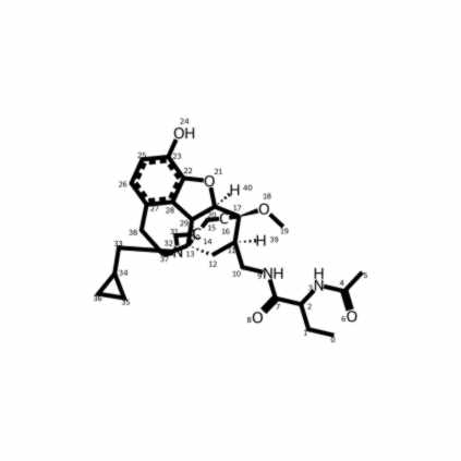 CCC(NC(C)=O)C(=O)NC[C@H]1C[C@@]23CCC[C@]1(OC)[C@@H]1Oc4c(O)ccc5c4[C@@]12CCN(CC1CC1)C3C5